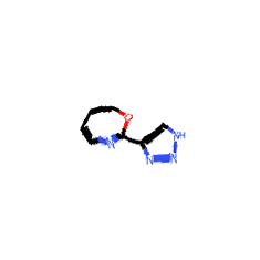 C1=CN=C(c2c[nH]nn2)OC=C1